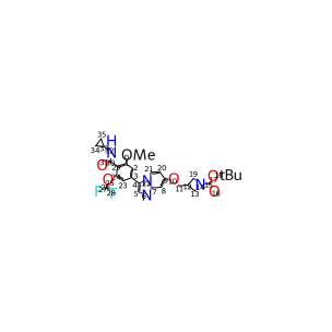 COc1cc(-c2cnc3cc(OCC4CN(C(=O)OC(C)(C)C)C4)ccn23)cc(OC(F)F)c1C(=O)NC1CC1